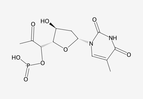 CC(=O)C(O[P](=O)O)[C@H]1O[C@@H](n2cc(C)c(=O)[nH]c2=O)C[C@@H]1O